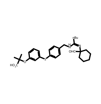 CCCC/C(=N/C1(C=O)CCCCC1)NCc1ccc(Sc2cccc(OC(C)(C)C(=O)O)c2)cc1